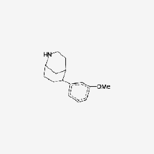 COc1cccc(C2CCC3CC2CCN3)c1